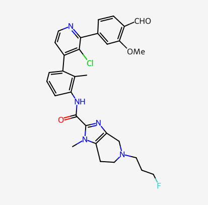 COc1cc(-c2nccc(-c3cccc(NC(=O)c4nc5c(n4C)CCN(CCCF)C5)c3C)c2Cl)ccc1C=O